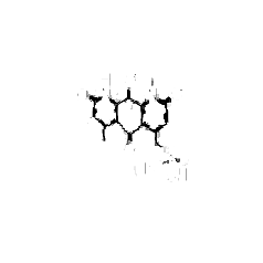 Cc1cc(=O)[nH]c2c1C(=O)c1c(COP(=O)(O)O)cc(=O)n(C)c1C2=O